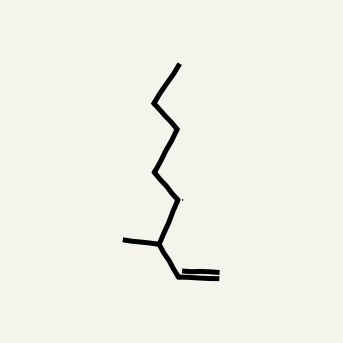 C=CC(C)[CH]CCCC